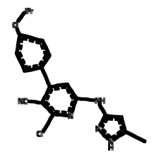 Cc1cc(Nc2cc(-c3ccc(OC(C)C)cc3)c(C#N)c(Cl)n2)n[nH]1